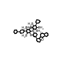 Bc1c(B)c(N(c2ccc(-c3cccc4oc5c6ccccc6ccc5c34)cc2)c2c(B)c(B)c(-c3ccc(-c4ccccc4)cc3)c(B)c2B)c(B)c(B)c1-c1ccccc1